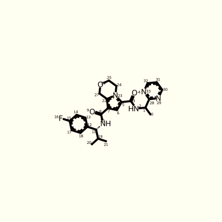 CC(NC(=O)c1cc(C(=O)N[C@@H](c2ccc(F)cc2)C(C)C)c2n1CCOC2)c1ncccn1